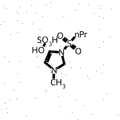 CCCS(=O)(=O)N1C=CN(C)C1.O=S(=O)(O)O